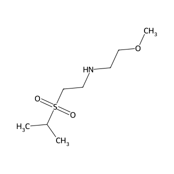 COCCNCCS(=O)(=O)C(C)C